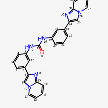 O=C(Nc1cccc(-c2cn3ccccc3n2)c1)Nc1cccc(-c2cn3ccccc3n2)c1